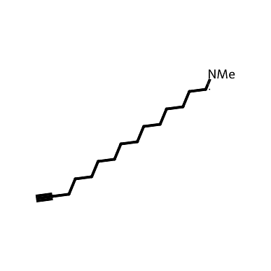 C#CCCCCCCCCCCCC[CH]NC